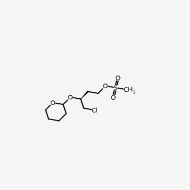 CS(=O)(=O)OCC[C@@H](CCl)OC1CCCCO1